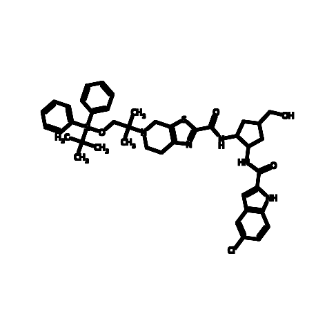 CC(C)(CO[Si](c1ccccc1)(c1ccccc1)C(C)(C)C)N1CCc2nc(C(=O)NC3CC(CO)CC3NC(=O)c3cc4cc(Cl)ccc4[nH]3)sc2C1